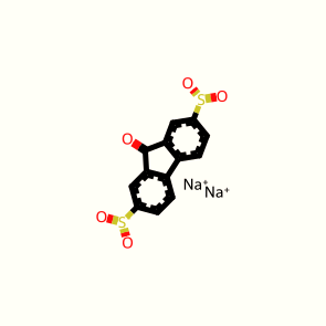 O=C1c2cc([S-](=O)=O)ccc2-c2ccc([S-](=O)=O)cc21.[Na+].[Na+]